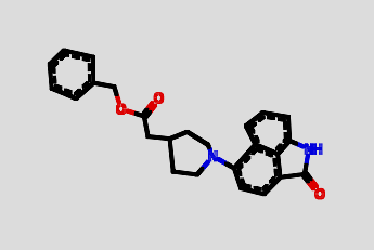 O=C(CC1CCN(c2ccc3c4c(cccc24)NC3=O)CC1)OCc1ccccc1